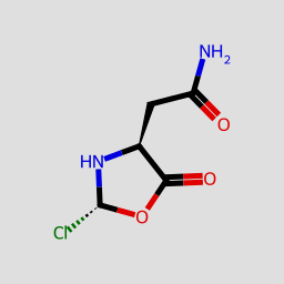 NC(=O)C[C@@H]1N[C@@H](Cl)OC1=O